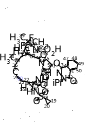 CC(C)n1nc(O[C@@H]2C[C@H]3C(=O)N[C@]4(C(=O)NS(=O)(=O)C5CC5)C[C@H]4/C=C\CC[C@H](C)C[C@@H](C)[C@H](N(C(=O)O)C(C)(C)C(C)(F)F)C(=O)N3C2)c2ccccc2c1=O